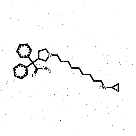 NC(=O)C(c1ccccc1)(c1ccccc1)C1CCN(CCCCCCCCCNC2CC2)C1